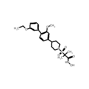 CCOc1cccc(-c2ccc(C3CCN(S(=O)(=O)C(C)(C)C(=O)NO)CC3)cc2OC)c1